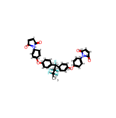 O=C1C=CC(=O)N1c1ccc(Oc2ccc(C(F)(c3ccc(Oc4ccc(N5C(=O)C=CC5=O)cc4)cc3)C(F)(F)C(F)(F)C(F)(F)F)cc2)cc1